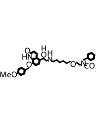 COc1ccc(COc2ccc(C(O)CNCCCCCCOCCN(Cc3ccccc3)C(=O)O)c3ccc(=O)[nH]c23)cc1